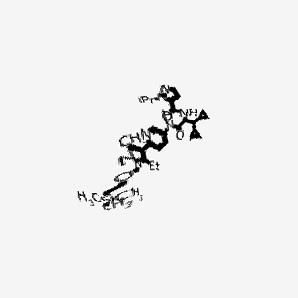 CCc1c(-c2ccc(NC(=O)C(NC(=O)c3ccnn3C(C)C)C(C3CC3)C3CC3)cn2)c(C)nn1COCC[Si](C)(C)C